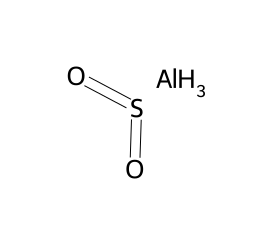 O=S=O.[AlH3]